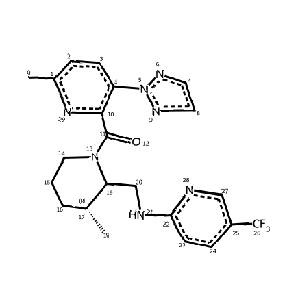 Cc1ccc(-n2nccn2)c(C(=O)N2CCC[C@@H](C)C2CNc2ccc(C(F)(F)F)cn2)n1